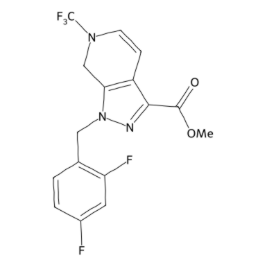 COC(=O)c1nn(Cc2ccc(F)cc2F)c2c1C=CN(C(F)(F)F)C2